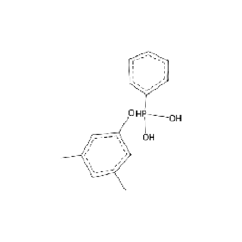 Cc1cc(C)cc(O[PH](O)(O)c2ccccc2)c1